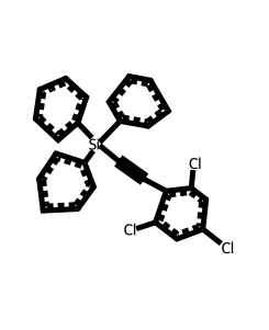 Clc1cc(Cl)c(C#C[Si](c2ccccc2)(c2ccccc2)c2ccccc2)c(Cl)c1